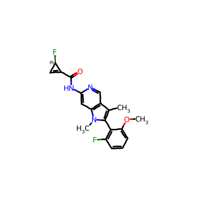 COc1cccc(F)c1-c1c(C)c2cnc(NC(=O)C3=C[C@H]3F)cc2n1C